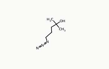 CC(C)(O)CCCN=[N+]=[N-]